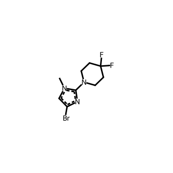 Cn1cc(Br)nc1N1CCC(F)(F)CC1